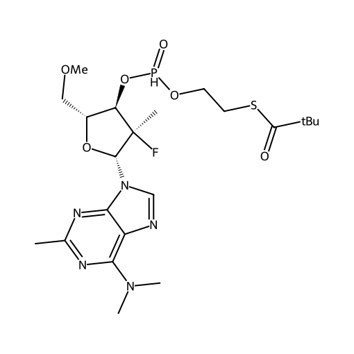 COC[C@H]1O[C@@H](n2cnc3c(N(C)C)nc(C)nc32)[C@](C)(F)[C@@H]1O[PH](=O)OCCSC(=O)C(C)(C)C